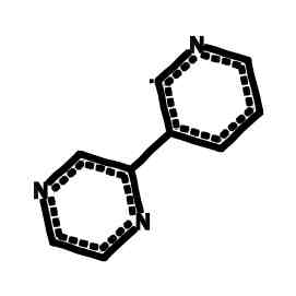 [c]1ncccc1-c1cnccn1